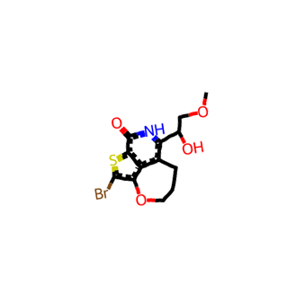 COCC(O)c1[nH]c(=O)c2sc(Br)c3c2c1CCCO3